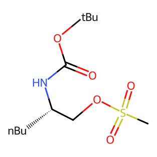 CCCC[C@@H](COS(C)(=O)=O)NC(=O)OC(C)(C)C